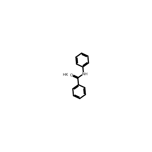 O=C(Nc1ccccc1)c1ccccc1.[KH]